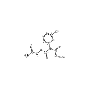 CCCCOC(=O)N(c1cccc(Cl)c1)[C@@H](C)COC(N)=O